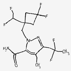 Cc1c(C(C)(F)F)nn(CC2(C(F)F)CC(F)(F)C2)c1C(N)=O